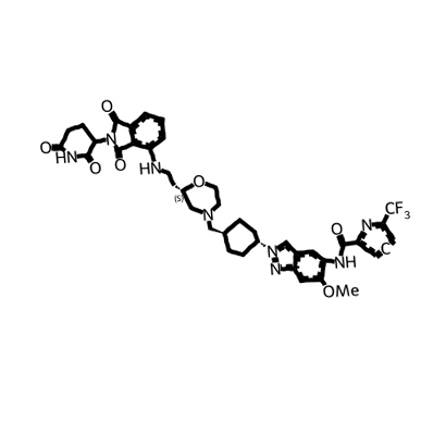 COc1cc2nn([C@H]3CC[C@H](CN4CCO[C@@H](CCNc5cccc6c5C(=O)N(C5CCC(=O)NC5=O)C6=O)C4)CC3)cc2cc1NC(=O)c1cccc(C(F)(F)F)n1